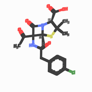 CC(=O)C1(NC(=O)Cc2ccc(Cl)cc2)C(=O)N2[C@@H](C(=O)O)C(C)(C)S[C@@H]21